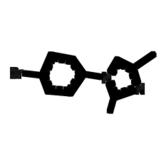 Cc1cn(-c2ccc(Br)cc2)c(C)n1